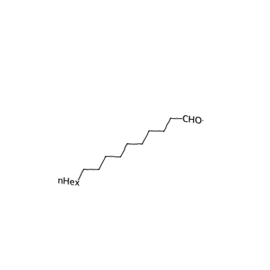 CCCCCCCCCCCCCCC[C]=O